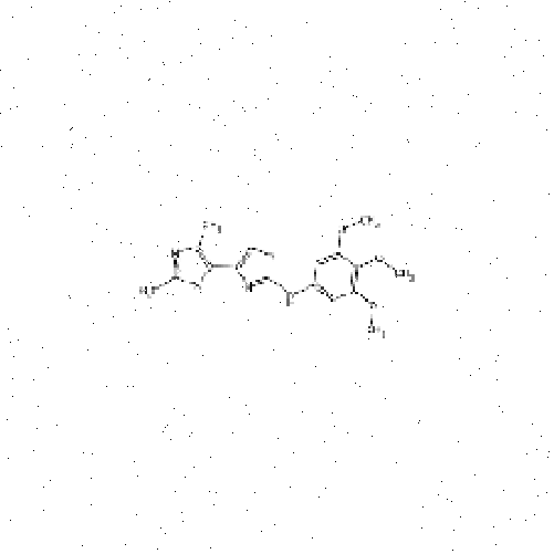 COc1cc(Nc2nc(-c3sc(C)nc3C)cs2)cc(OC)c1OC